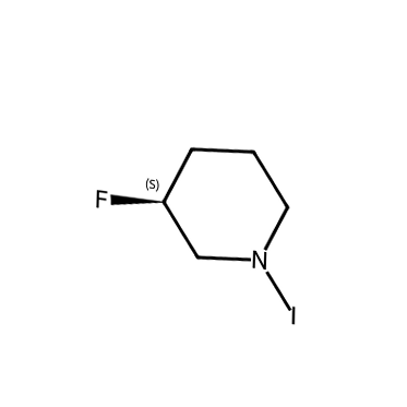 F[C@H]1CCCN(I)C1